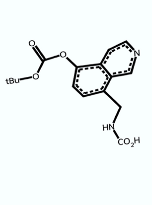 CC(C)(C)OC(=O)Oc1ccc(CNC(=O)O)c2cnccc12